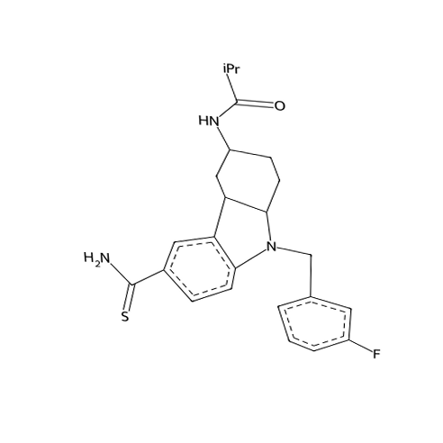 CC(C)C(=O)NC1CCC2C(C1)c1cc(C(N)=S)ccc1N2Cc1cccc(F)c1